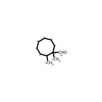 CC1CCCCCCC1(C)C=O